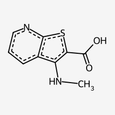 CNc1c(C(=O)O)sc2ncccc12